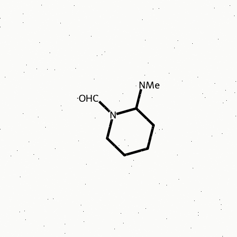 CNC1CCCCN1[C]=O